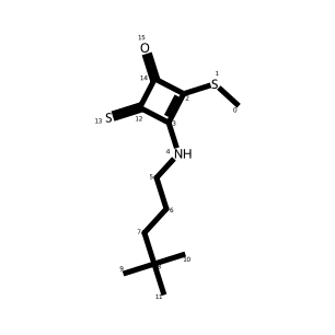 CSc1c(NCCCC(C)(C)C)c(=S)c1=O